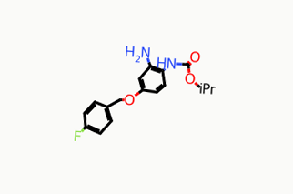 CC(C)OC(=O)Nc1ccc(OCc2ccc(F)cc2)cc1N